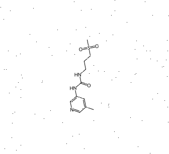 Cc1[c]ncc(NC(=O)NCCCS(C)(=O)=O)c1